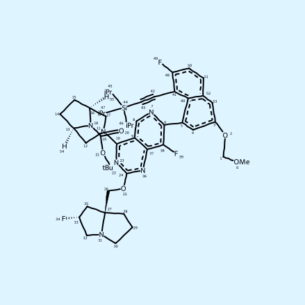 COCOc1cc(-c2ncc3c(N4C[C@H]5CC[C@@H](C4)N5C(=O)OC(C)(C)C)nc(OC[C@@]45CCCN4C[C@H](F)C5)nc3c2F)c2c(C#C[Si](C(C)C)(C(C)C)C(C)C)c(F)ccc2c1